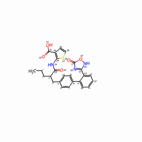 CCCC(Cc1ccc(-c2ccccc2-c2nc(=O)o[nH]2)cc1)C(=O)Nc1sccc1C(=O)O